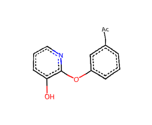 CC(=O)c1cccc(Oc2ncccc2O)c1